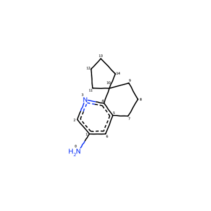 Nc1cnc2c(c1)CCCC21CCCC1